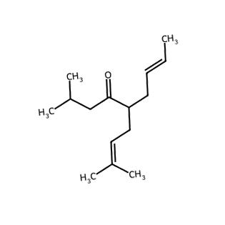 C/C=C/CC(CC=C(C)C)C(=O)CC(C)C